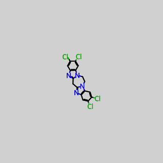 Clc1cc2nc3n(c2cc1Cl)CCn1c(nc2cc(Cl)c(Cl)cc21)C3